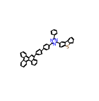 c1ccc(-c2nc(-c3ccc(-c4ccc(-c5cc6c7ccccc7c7ccccc7c6c6ccccc56)cc4)cc3)nc(-c3ccc4sc5ccccc5c4c3)n2)cc1